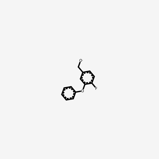 [O]Cc1ccc(F)c(Oc2ccccc2)c1